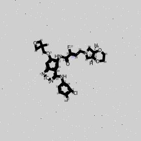 CC1(COc2cc3ncnc(Nc4ccc(F)c(Cl)c4)c3cc2NC(=O)/C(F)=C/CN2C[C@@H]3OCCO[C@@H]3C2)COC1